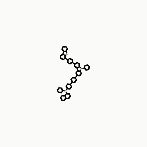 c1ccc(N(c2ccc(-c3ccc(-c4ccc5c(c4)c4cc(-c6ccc(-c7cccc8c7oc7ccccc78)cc6)ccc4n5-c4ccccc4)cc3)cc2)c2cccc3ccccc23)cc1